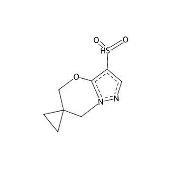 O=[SH](=O)c1cnn2c1OCC1(CC1)C2